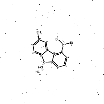 CCN(CC)c1cccc2oc3ccc(N)cc3c12.Cl.Cl